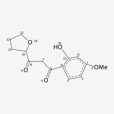 COc1ccc(C(=O)CC(=O)C2CCCO2)c(O)c1